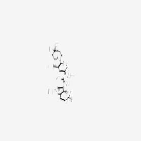 O=C(Nc1cnc(N2CCC(F)(F)CC2)c(Cl)c1)Nc1c[nH]c2ccc(Cl)nc12